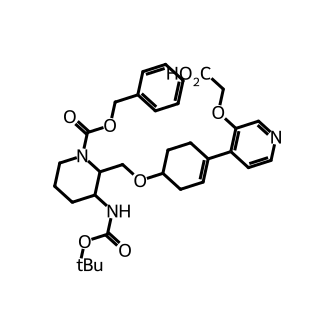 CC(C)(C)OC(=O)NC1CCCN(C(=O)OCc2ccccc2)C1COC1CC=C(c2ccncc2OCC(=O)O)CC1